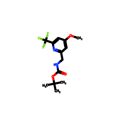 COc1cc(CNC(=O)OC(C)(C)C)nc(C(F)(F)F)c1